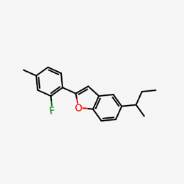 CCC(C)c1ccc2oc(-c3ccc(C)cc3F)cc2c1